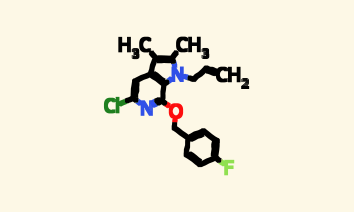 C=CCn1c(C)c(C)c2cc(Cl)nc(OCc3ccc(F)cc3)c21